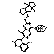 CCc1cccc2cc(O)cc(-c3ncc4c(N5CC6CCC(C5)N6)nc(OC[C@@]56CCCN5[C@@H]5CCC[C@]5(F)C6)nc4c3F)c12